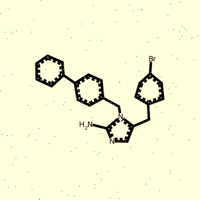 Nc1ncc(Cc2ccc(Br)cc2)n1Cc1ccc(-c2ccccc2)cc1